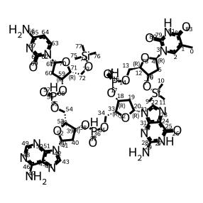 Cc1cn([C@H]2C[C@@H](O[Si](C)(C)C)[C@@H](CO[PH](=O)O[C@@H]3C[C@H](n4cnc5c(=O)[nH]c(N)nc54)O[C@@H]3CO[PH](=O)O[C@@H]3C[C@H](n4cnc5c(N)ncnc54)O[C@@H]3CO[PH](=O)O[C@@H]3C[C@H](n4ccc(N)nc4=O)O[C@@H]3CO[Si](C)(C)C)O2)c(=O)[nH]c1=O